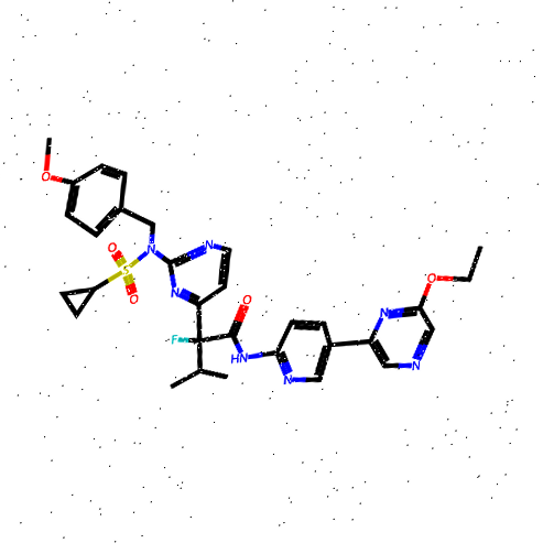 CCOc1cncc(-c2ccc(NC(=O)C(F)(c3ccnc(N(Cc4ccc(OC)cc4)S(=O)(=O)C4CC4)n3)C(C)C)nc2)n1